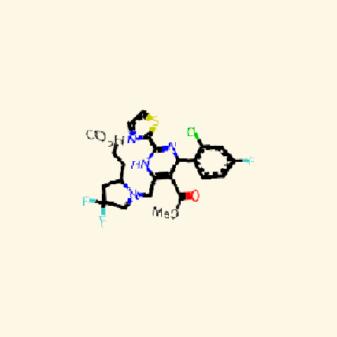 COC(=O)C1=C(CN2CC(F)(F)CC2CCC(=O)O)NC(c2nccs2)=NC1c1ccc(F)cc1Cl